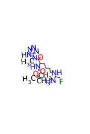 CN(C(=O)C(CCCCNC(=N)CF)NC(=O)OC(C)(C)C)c1nnn[nH]1